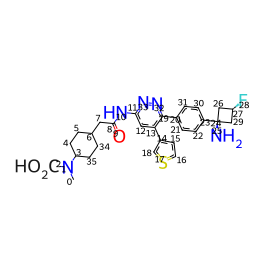 CN(C(=O)O)C1CCC(CC(=O)Nc2cc(-c3ccsc3)c(-c3ccc([C@]4(N)C[C@@H](F)C4)cc3)nn2)CC1